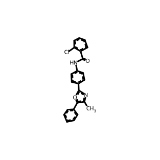 Cc1nc(-c2ccc(NC(=O)c3ccccc3Cl)cc2)oc1-c1ccccc1